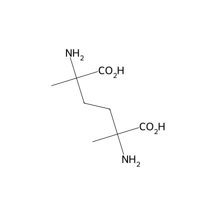 CC(N)(CCC(C)(N)C(=O)O)C(=O)O